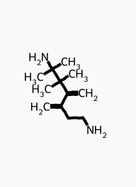 C=C(CCN)C(=C)C(C)(C)C(C)(C)N